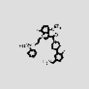 COCCn1cc(C(=O)N2CCC(c3cc(CN)ccc3F)CC2)c2c(OC(F)(F)F)ccc(F)c21.O=C(O)c1ccccc1